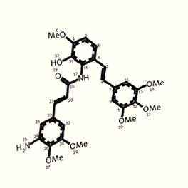 COc1ccc(C=Cc2cc(OC)c(OC)c(OC)c2)c(NC(=O)/C=C/c2cc(N)c(OC)c(OC)c2)c1O